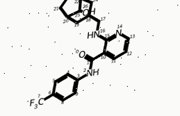 O=C(Nc1ccc(C(F)(F)F)cc1)c1cccnc1NCC1CC2CCC(C1)C2O